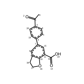 CC(=O)c1ccc(-c2cc3c(c(C(=O)O)c2)OCC3)cc1